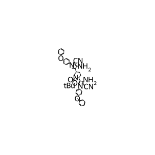 CC(C)(C)OC(=O)N1CC(c2cn(-c3ccc(Oc4ccccc4)cc3)c(C#N)c2N)CCC1c1cn(-c2ccc(Oc3ccccc3)cc2)c(C#N)c1N